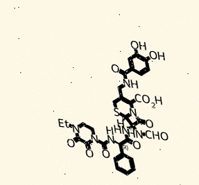 CCN1CCN(C(=O)N[C@@H](C(=O)N[C@]2(NC=O)C(=O)N3C(C(=O)O)=C(CNC(=O)c4ccc(O)c(O)c4)CS[C@@H]32)c2ccccc2)C(=O)C1=O